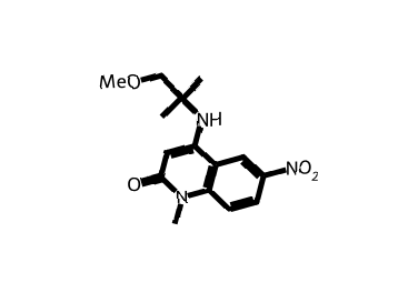 COCC(C)(C)Nc1cc(=O)n(C)c2ccc([N+](=O)[O-])cc12